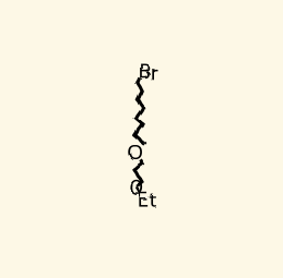 CCOCCCOCCCCCCCCBr